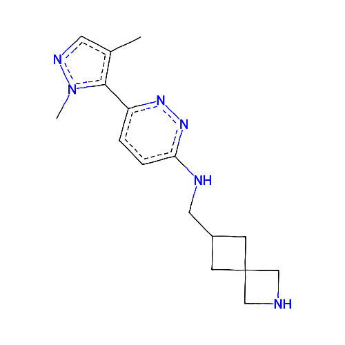 Cc1cnn(C)c1-c1ccc(NCC2CC3(CNC3)C2)nn1